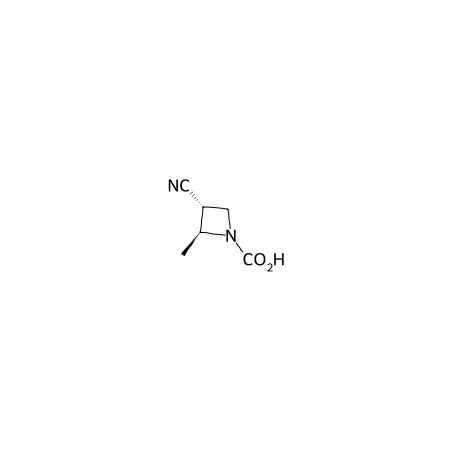 C[C@H]1[C@H](C#N)CN1C(=O)O